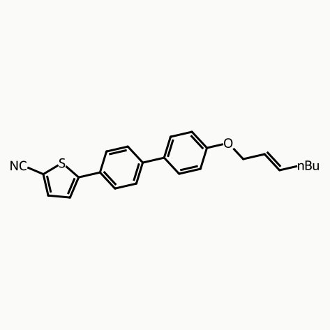 CCCCC=CCOc1ccc(-c2ccc(-c3ccc(C#N)s3)cc2)cc1